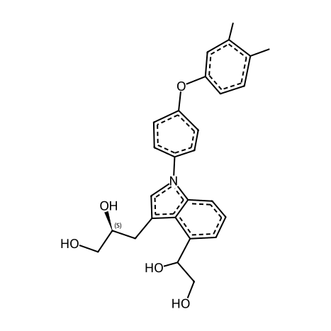 Cc1ccc(Oc2ccc(-n3cc(C[C@H](O)CO)c4c(C(O)CO)cccc43)cc2)cc1C